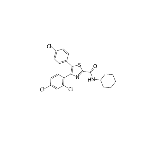 O=C(NC1CCCCC1)c1nc(-c2ccc(Cl)cc2Cl)c(-c2ccc(Cl)cc2)s1